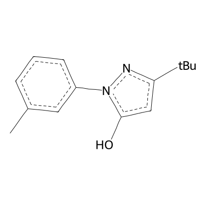 Cc1cccc(-n2nc(C(C)(C)C)cc2O)c1